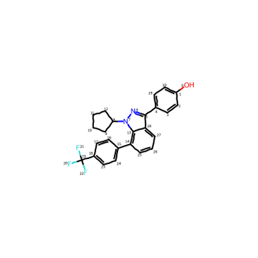 Oc1ccc(-c2nn(C3CCCC3)c3c(-c4ccc(C(F)(F)F)cc4)cccc23)cc1